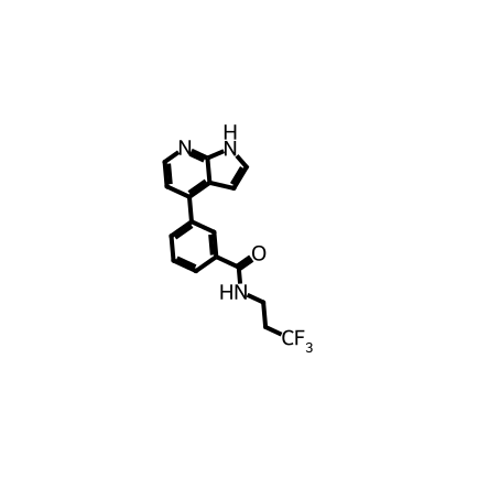 O=C(NCCC(F)(F)F)c1cccc(-c2ccnc3[nH]ccc23)c1